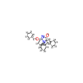 O=C1N=C2C(OCc3ccccc3)=CC=CN2C1(Cc1ccccc1)Cc1ccccc1